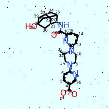 COC(=O)c1ccc(N2CCN(c3cccc(C(=O)NC4C5CC6CC4CC(O)(C6)C5)n3)[C@H](C)C2)nc1